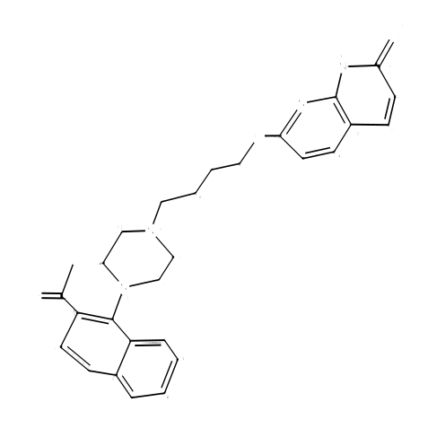 CC(=O)c1ccc2ccccc2c1N1CCN(CCCCOc2ccc3ccc(=O)[nH]c3n2)CC1